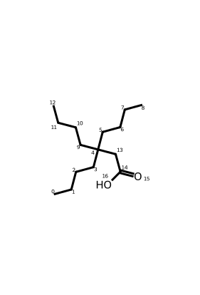 CCCCC(CCCC)(CCCC)CC(=O)O